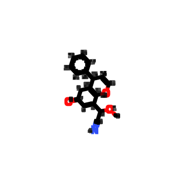 COC(C#N)C1=CC(=O)CC2=C1OC=CC2c1ccccc1